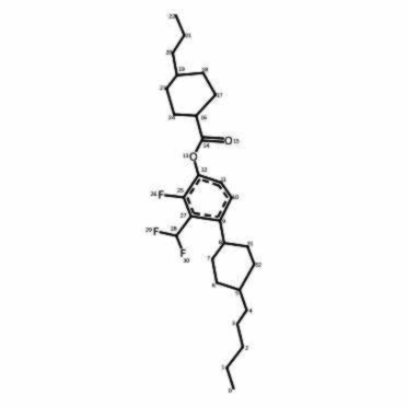 CCCCCC1CCC(c2ccc(OC(=O)C3CCC(CCC)CC3)c(F)c2C(F)F)CC1